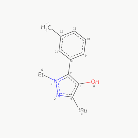 CCn1nc(C(C)(C)C)c(O)c1-c1cccc(C)c1